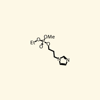 CCOP(=O)(OC)OCCCn1ccnc1